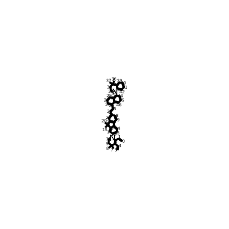 C=CC1=C(C=C)C(C)(C)CCN1c1ccc2c(c1)C(C)(C)c1cc(/C=C/c3cccc4c(N5CCC(C)(C)c6ccccc65)cccc34)ccc1-2